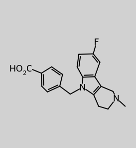 CN1CCc2c(c3cc(F)ccc3n2Cc2ccc(C(=O)O)cc2)C1